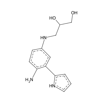 Nc1ccc(NCC(O)CO)cc1-c1ccc[nH]1